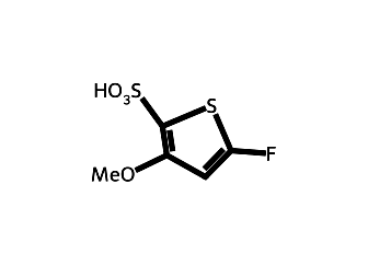 COc1cc(F)sc1S(=O)(=O)O